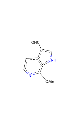 COc1nccc2c(C=O)c[nH]c12